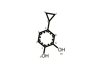 Oc1ccc(C2CC2)cc1O